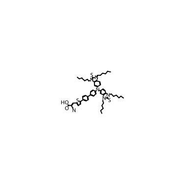 CCCCCCn1c(=S)n(CCCCCC)c2cc(N(c3ccc(-c4ccc(-c5ccc(/C=C(\C#N)C(=O)O)s5)cc4)cc3)c3ccc4c(c3)n(CCCCCC)c(=S)n4CCCCCC)ccc21